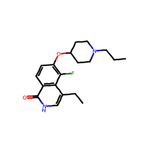 CCCN1CCC(Oc2ccc3c(=O)[nH]cc(CC)c3c2F)CC1